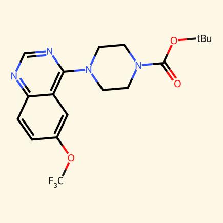 CC(C)(C)OC(=O)N1CCN(c2ncnc3ccc(OC(F)(F)F)cc23)CC1